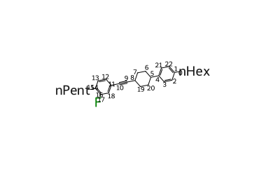 CCCCCCc1ccc(C2CCC(C#Cc3ccc(CCCCC)c(F)c3)CC2)cc1